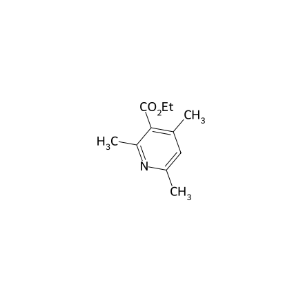 CCOC(=O)c1c(C)cc(C)nc1C